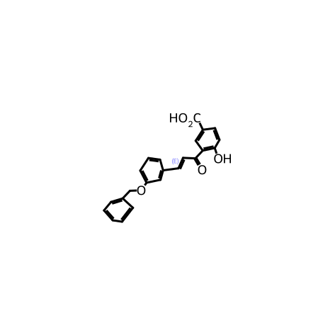 O=C(O)c1ccc(O)c(C(=O)/C=C/c2cccc(OCc3ccccc3)c2)c1